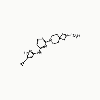 O=C(O)N1CC2(CCN(c3nccc(Nc4cc(C5CC5)[nH]n4)n3)CC2)C1